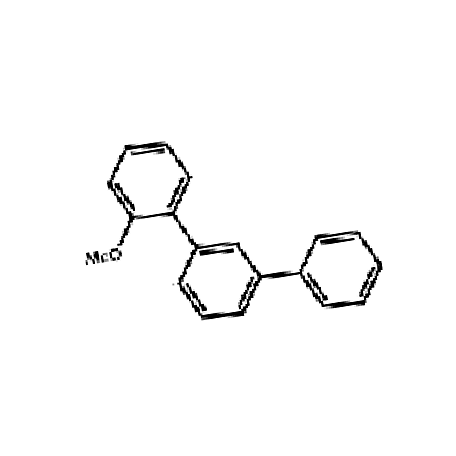 COc1ccccc1-c1[c]ccc(-c2ccccc2)c1